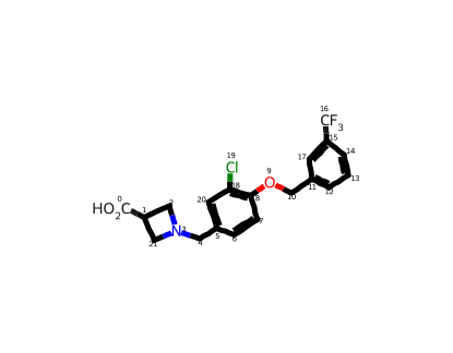 O=C(O)C1CN(Cc2ccc(OCc3cccc(C(F)(F)F)c3)c(Cl)c2)C1